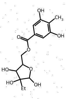 CCC1(O)C(O)OC(COC(=O)c2cc(O)c(C)c(O)c2)C1O